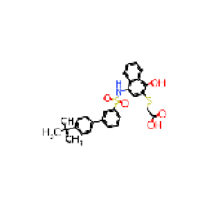 CC(C)(C)c1ccc(-c2cccc(S(=O)(=O)Nc3cc(SCC(=O)O)c(O)c4ccccc34)c2)cc1